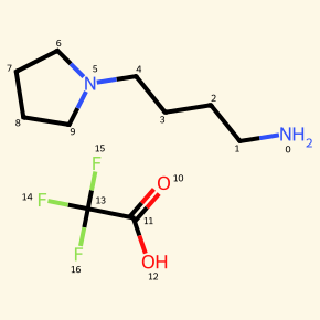 NCCCCN1CCCC1.O=C(O)C(F)(F)F